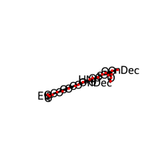 CCCCCCCCCCCCOc1cc(OCCCCCCCCCCCC)cc(C(=O)OCCSSCCOC(=O)NCCCOCCOCCOCCOCCOCCOCCOCCP(=O)(F)OCC)c1